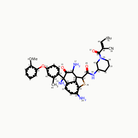 COc1ccccc1Oc1ccc(C2(N)C(=O)C(N)C3c4c2ccc(N)c4SC3C(=O)NC2CCCN(C(=O)/C(C#N)=C/C(C)(C)C)C2)c(C)c1